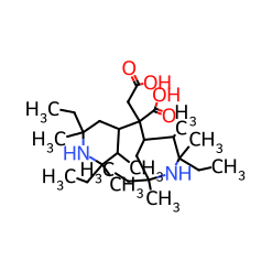 CCC1(C)CC(C(CC(=O)O)(C(=O)O)C2CC(C)(CC)NC(C)(CC)C2C)C(C)C(C)(CC)N1